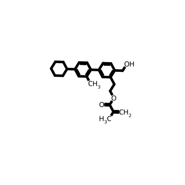 C=C(C)C(=O)OCCc1cc(-c2ccc(C3CCCCC3)cc2C)ccc1CO